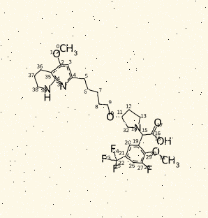 COc1cc(CCCCCO[C@@H]2CCN(C(C(=O)O)c3cc(C(F)(F)F)cc(F)c3OC)C2)nc2c1CCCN2